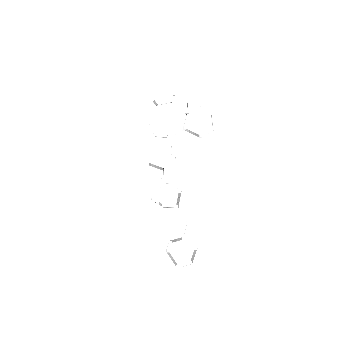 C[C@@H]1C(=O)CCN(NC(=O)n2cc(Cc3ccccc3)cn2)C2=CCCC[C@H]21